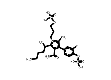 CCCCC(C)c1c(C(N)=O)c(-c2ccc(OP(=O)(O)O)c(Cl)c2)c(C)n1CCCOP(=O)(O)O